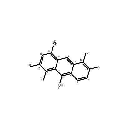 Cc1ccc2c(O)c3c(C)c(C)cc(S)c3cc2c1C